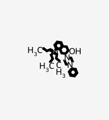 CCC[CH2][Sn]([CH2]CCC)([CH2]CCC)[c]1cccc2c1CC(N1CCN(c3ccccc3)CC1)C(O)C2